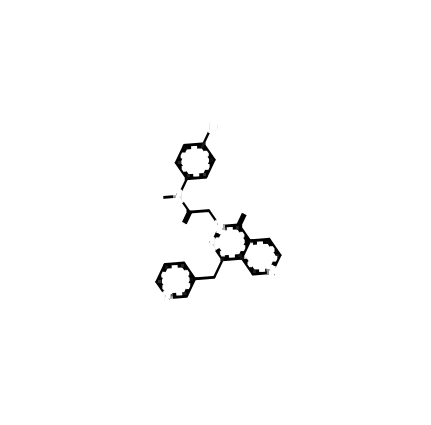 CCc1ccc(N(CC)C(=O)Cn2nc(Cc3cccnc3)c3cnccc3c2=O)cc1